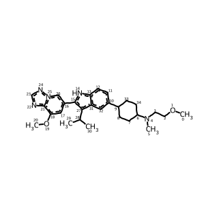 COCCN(C)C1CCC(c2ccc3[nH]c(-c4cc(OC)c5ncnn5c4)c(C(C)C)c3c2)CC1